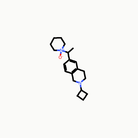 CC(c1ccc2c(c1)CCN(C1CCC1)C2)[N+]1([O-])CCCCC1